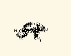 CCCCC(CC)Cc1ccc(-c2c3cc(-c4ccc(-c5sc(-c6ccc(C)s6)c6c5C(=O)c5c(CC(CC)CCCC)sc(CC(CC)CCCC)c5C6=O)s4)sc3c(-c3ccc(CC(CC)CCCC)s3)c3cc(C)sc23)s1